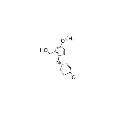 COc1ccc(N=C2C=CC(=O)C=C2)c(CO)c1